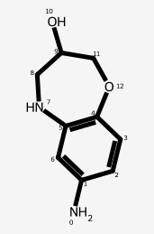 Nc1ccc2c(c1)NCC(O)CO2